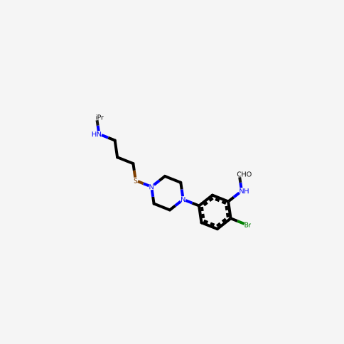 CC(C)NCCCSN1CCN(c2ccc(Br)c(NC=O)c2)CC1